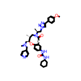 COc1ccc(-c2cn(C[C@H](C)N3C[C@@H](C)[C@H](CN(C)Cc4ccncc4)Oc4ccc(NC(=O)NC5CCCCC5)cc4CC3=O)nn2)cc1